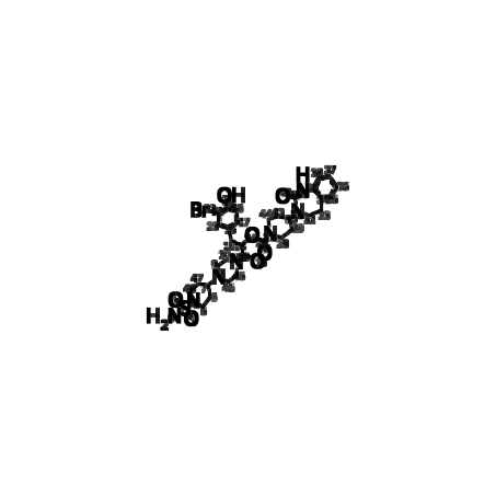 NS(=O)(=O)N1CCC(N2CCN(C(=O)C(Cc3ccc(O)c(Br)c3)OC(=O)N3CCC(N4CCc5ccccc5NC4=O)CC3)CC2)CC1